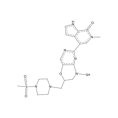 Cn1cc(-c2ncc3c(n2)N(S)CC(CN2CCN(S(C)(=O)=O)CC2)O3)c2cc[nH]c2c1=O